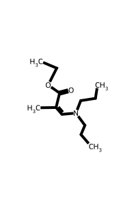 CCCN(C=C(C)C(=O)OCC)CCC